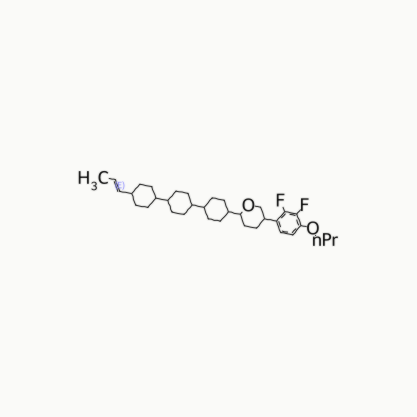 C/C=C/C1CCC(C2CCC(C3CCC(C4CCC(c5ccc(OCCC)c(F)c5F)CO4)CC3)CC2)CC1